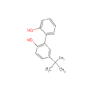 CC(C)(C)c1ccc(O)c(-c2ccccc2O)c1